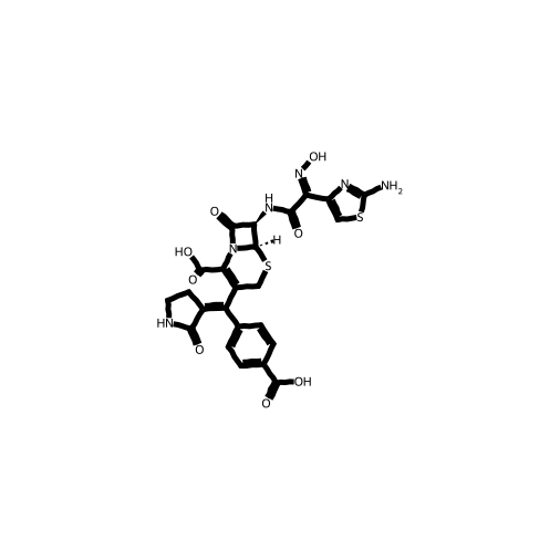 Nc1nc(C(=NO)C(=O)N[C@@H]2C(=O)N3C(C(=O)O)=C(C(=C4CCNC4=O)c4ccc(C(=O)O)cc4)CS[C@H]23)cs1